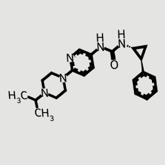 CC(C)N1CCN(c2ccc(NC(=O)N[C@@H]3C[C@H]3c3ccccc3)cn2)CC1